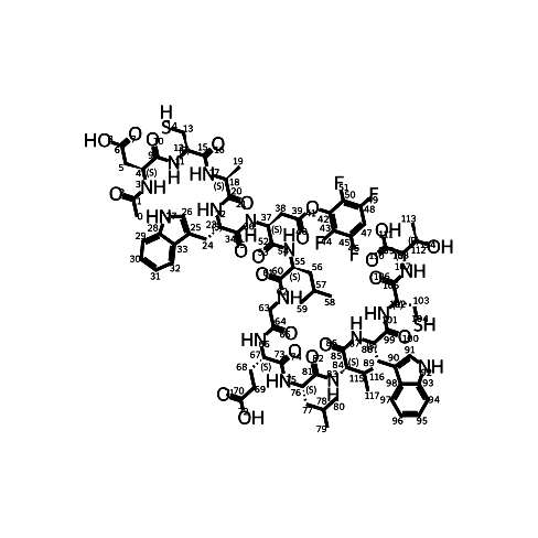 CC(=O)N[C@@H](CC(=O)O)C(=O)N[C@@H](CS)C(=O)N[C@@H](C)C(=O)N[C@@H](Cc1c[nH]c2ccccc12)C(=O)N[C@@H](CC(=O)Oc1c(F)c(F)cc(F)c1F)C(=O)N[C@@H](CC(C)C)C(=O)NCC(=O)N[C@@H](CCC(=O)O)C(=O)N[C@@H](CC(C)C)C(=O)N[C@H](C(=O)N[C@@H](Cc1c[nH]c2ccccc12)C(=O)N[C@@H](CS)C(=O)N[C@H](C(=O)O)[C@@H](C)O)C(C)C